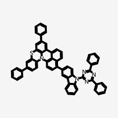 c1ccc(-c2ccc3c(c2)sc2cc(-c4ccccc4)cc4c2-n3c2ccc(-c3ccc5c(c3)c3ccccc3n5-c3nc(-c5ccccc5)nc(-c5ccccc5)n3)c3cccc4c32)cc1